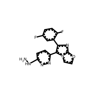 NNc1ccc(-c2c(-c3cc(F)ccc3F)nc3occn23)nn1